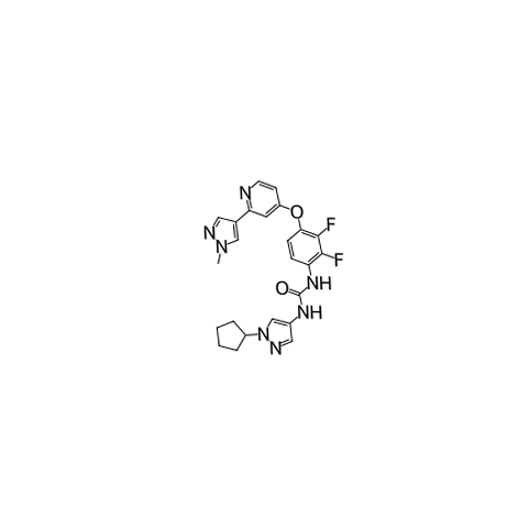 Cn1cc(-c2cc(Oc3ccc(NC(=O)Nc4cnn(C5CCCC5)c4)c(F)c3F)ccn2)cn1